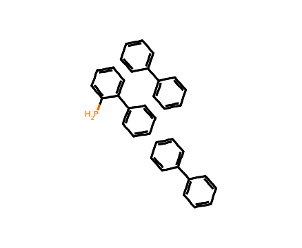 Pc1ccccc1-c1ccccc1.c1ccc(-c2ccccc2)cc1.c1ccc(-c2ccccc2)cc1